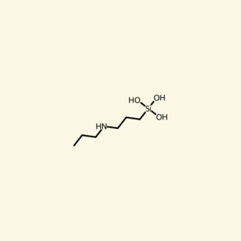 CCCNCCC[Si](O)(O)O